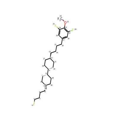 FCCCC[Si@H]1CC[C@H]([C@H]2CC[C@H](CCCCc3cc(F)c(OC(F)(F)F)c(F)c3)CC2)CC1